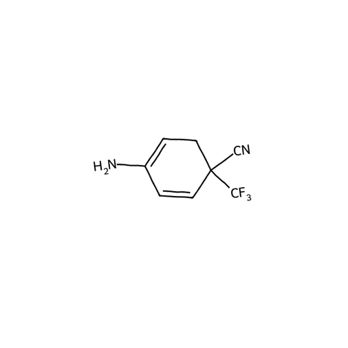 N#CC1(C(F)(F)F)C=CC(N)=CC1